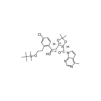 Cc1ncnc2c1ccn2[C@@H]1O[C@H]([C@@H](O)c2ccc(Cl)cc2CCO[Si](C)(C)C(C)(C)C)[C@H]2OC(C)(C)O[C@H]21